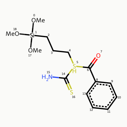 CO[Si](CCC[SH](C(=O)c1ccccc1)C(N)=S)(OC)OC